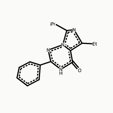 CCc1nc(C(C)C)n2nc(-c3ccccc3)[nH]c(=O)c12